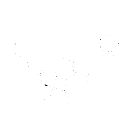 CO[C@@]1(NC(=O)CSCN)C(=O)N2C(CO)=C(CSc3nnnn3C)CS[C@@H]21